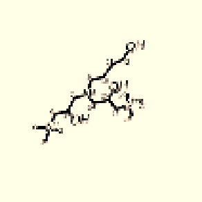 C[N+](C)(C)CC(O)CN(CCCCO)CC(O)C[N+](C)(C)C